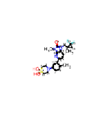 Cc1ccc(N2CCS(O)(O)CC2)cc1-c1ccc2c(n1)n(C)c(=O)n2C[C@]1(C)CC1(F)F